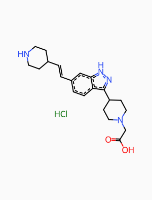 Cl.O=C(O)CN1CCC(c2n[nH]c3cc(C=CC4CCNCC4)ccc23)CC1